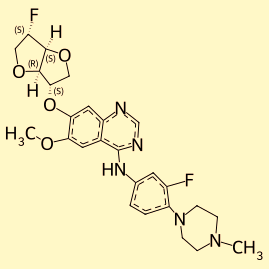 COc1cc2c(Nc3ccc(N4CCN(C)CC4)c(F)c3)ncnc2cc1O[C@H]1CO[C@H]2[C@@H]1OC[C@@H]2F